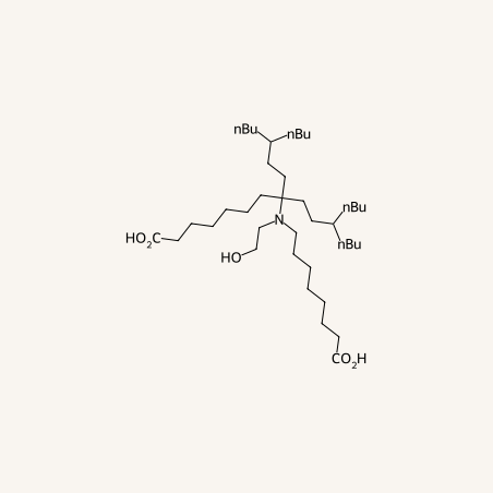 CCCCC(CCCC)CCC(CCCCCCC(=O)O)(CCC(CCCC)CCCC)N(CCO)CCCCCCCC(=O)O